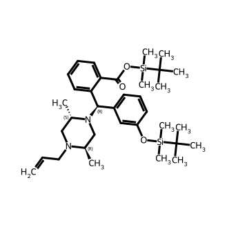 C=CCN1C[C@H](C)N([C@H](c2cccc(O[Si](C)(C)C(C)(C)C)c2)c2ccccc2C(=O)O[Si](C)(C)C(C)(C)C)C[C@H]1C